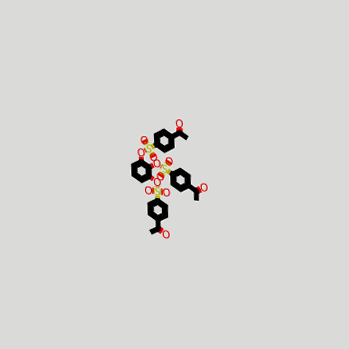 CC(=O)c1ccc(S(=O)(=O)Oc2cccc(OS(=O)(=O)c3ccc(C(C)=O)cc3)c2OS(=O)(=O)c2ccc(C(C)=O)cc2)cc1